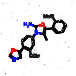 COc1ccccc1C1=C(C)N(c2ccc(-c3cnco3)c(OC)c2)C(N)O1